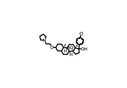 C[C@]12CCC(OCCN3CCCC3)CC1CC[C@@H]1[C@H]2CC[C@]2(C)C(O)(c3ccc(Cl)cc3)CC[C@@]12O